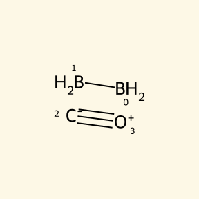 BB.[C-]#[O+]